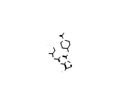 COCC(C)Nc1nc(NC2CCN(C(=O)OC)CC2)n2ncc(C(C)C)c2n1